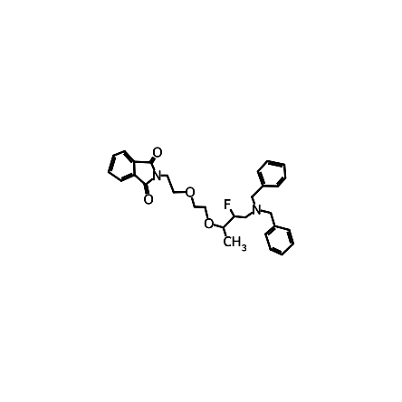 CC(OCCOCCN1C(=O)c2ccccc2C1=O)C(F)CN(Cc1ccccc1)Cc1ccccc1